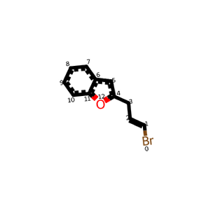 BrC=CCc1cc2ccccc2o1